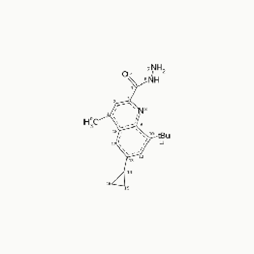 Cc1cc(C(=O)NN)nc2c(C(C)(C)C)cc(C3CC3)cc12